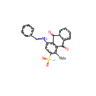 CNc1c(S(=O)(=O)F)cc(NCc2ccccc2)c2c1C(=O)c1ccccc1C2=O